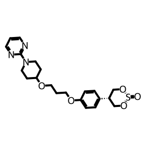 O=[S@]1OC[C@H](c2ccc(OCCCOC3CCN(c4ncccn4)CC3)cc2)CO1